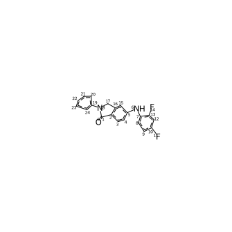 O=C1c2ccc(Nc3ccc(F)cc3F)cc2CN1c1ccccc1